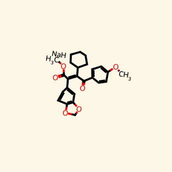 COC(=O)C(=C(C(=O)c1ccc(OC)cc1)C1CCCCC1)c1ccc2c(c1)OCO2.[NaH]